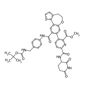 COC(=O)c1nc(C(=O)NC2CCC(=O)NC2=O)ccc1-c1cc2c(cc1C(=O)Nc1ccc(CNC(=O)OC(C)(C)C)cc1)-c1sccc1CCO2